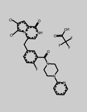 O=C(O)C(F)(F)F.O=C(c1cc(Cc2c[nH]c(=O)c3cc(Cl)c(Cl)n23)ccc1F)N1CCN(c2ccccn2)CC1